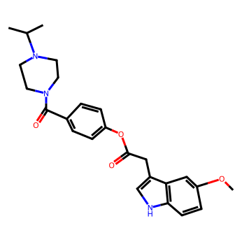 COc1ccc2[nH]cc(CC(=O)Oc3ccc(C(=O)N4CCN(C(C)C)CC4)cc3)c2c1